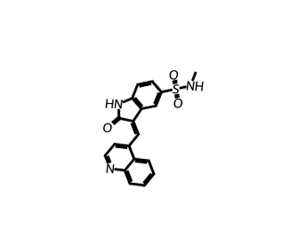 CNS(=O)(=O)c1ccc2c(c1)C(=Cc1ccnc3ccccc13)C(=O)N2